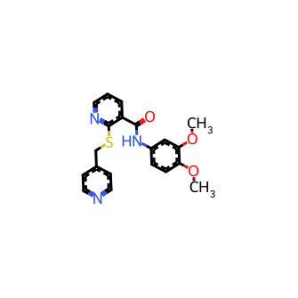 COc1ccc(NC(=O)c2cccnc2SCc2ccncc2)cc1OC